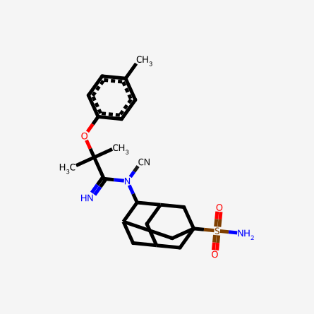 Cc1ccc(OC(C)(C)C(=N)N(C#N)C2C3CC4CC2CC(S(N)(=O)=O)(C4)C3)cc1